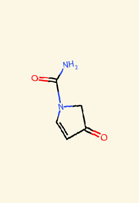 NC(=O)N1C=CC(=O)C1